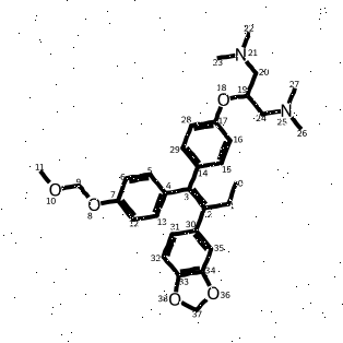 CCC(=C(c1ccc(OCOC)cc1)c1ccc(OC(CN(C)C)CN(C)C)cc1)c1ccc2c(c1)OCO2